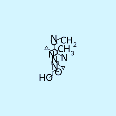 C=Cc1cc(-c2c(C3CC3)nc(N3CCN(C(=O)CCO)[C@H](C4CC4)C3)c(C#N)c2C)ccn1